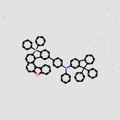 c1ccc(N(c2ccc(-c3ccc4c(c3)-c3c(ccc5ccc6oc7ccccc7c6c35)[Si]4(c3ccccc3)c3ccccc3)cc2)c2ccc3c(c2)C(c2ccccc2)(c2ccccc2)c2ccccc2-3)cc1